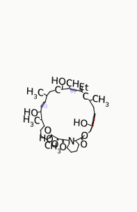 CCC1/C=C(\C)C(O)CCC(C)/C=C/C(O)C(C)C2CCC(C)C(O)(O2)C(=O)C(=O)N2CCCCC2C(=O)OC2C=CC(=CC2O)CC(C)C1